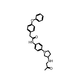 CC(=O)CNC1CCN(c2ccc(NC(=O)Cc3ccc(Oc4ccccc4)cc3)cc2)C1